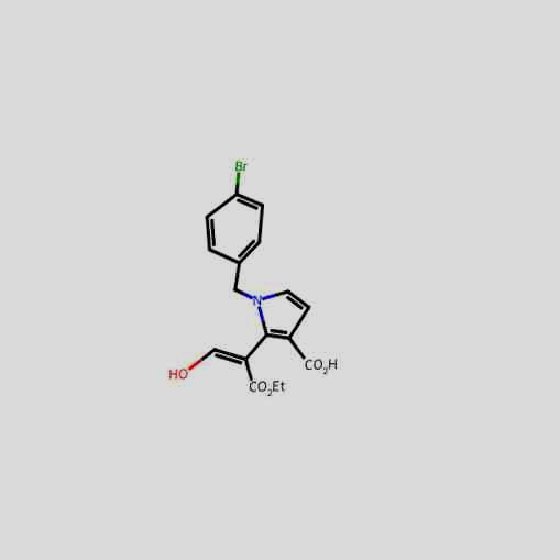 CCOC(=O)C(=CO)c1c(C(=O)O)ccn1Cc1ccc(Br)cc1